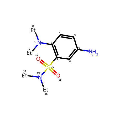 CCN(CC)c1ccc(N)cc1S(=O)(=O)N(CC)CC